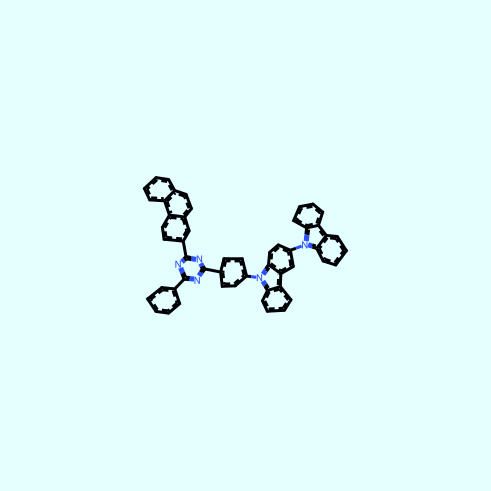 c1ccc(-c2nc(-c3ccc(-n4c5ccccc5c5cc(-n6c7ccccc7c7ccccc76)ccc54)cc3)nc(-c3ccc4c(ccc5ccccc54)c3)n2)cc1